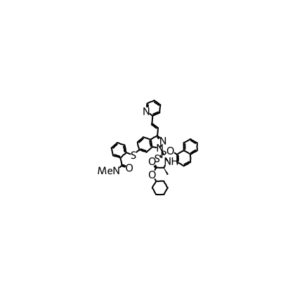 CNC(=O)c1ccccc1Sc1ccc2c(/C=C/c3ccccn3)nn(P(=S)(N[C@@H](C)C(=O)OC3CCCCC3)Oc3cccc4ccccc34)c2c1